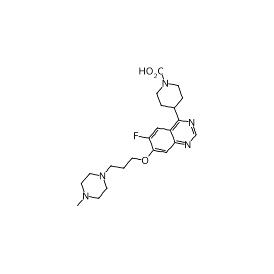 CN1CCN(CCCOc2cc3ncnc(C4CCN(C(=O)O)CC4)c3cc2F)CC1